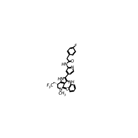 CN1C[C@H](CC(F)(F)F)c2[nH]c(-c3ccnc(NC(=O)Cc4ccc(F)cc4)c3)c(Nc3ccccc3)c2C1=O